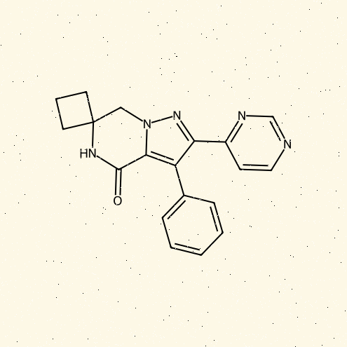 O=C1NC2(CCC2)Cn2nc(-c3ccncn3)c(-c3ccccc3)c21